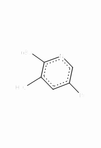 [CH2]CCCc1ncc(Br)cc1C